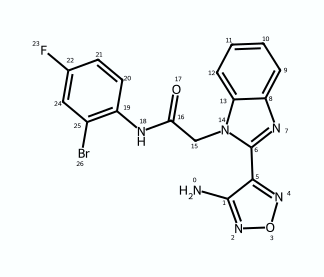 Nc1nonc1-c1nc2ccccc2n1CC(=O)Nc1ccc(F)cc1Br